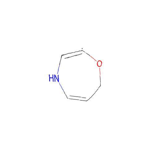 [C]1=CNC=CCO1